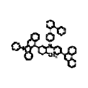 CC1CC=C(c2c3ccccc3cc3c2c2ccccc2n3-c2ccccc2)C=C1N(c1ccc(-c2ccccc2-c2ccccc2)cc1)c1ccc(-c2cc3ccccc3c3ccccc23)cc1